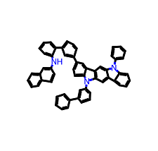 c1ccc(-c2cccc(-n3c4ccc(-c5cccc(-c6ccccc6Nc6ccc7ccccc7c6)c5)cc4c4cc5c(cc43)c3ccccc3n5-c3ccccc3)c2)cc1